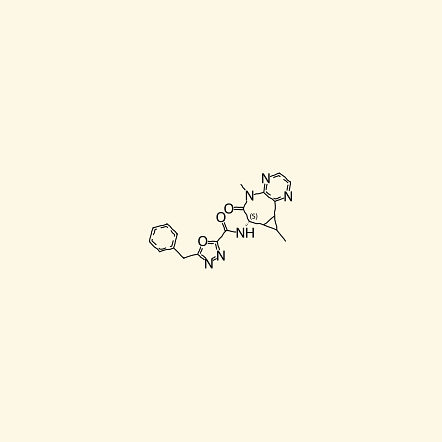 CC1C2c3nccnc3N(C)C(=O)[C@@H](NC(=O)c3nnc(Cc4ccccc4)o3)C12